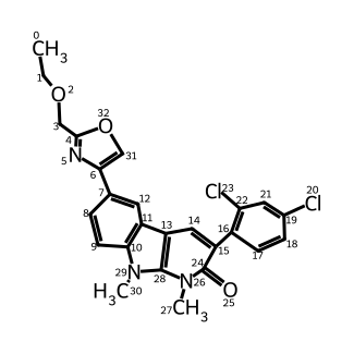 CCOCc1nc(-c2ccc3c(c2)c2cc(-c4ccc(Cl)cc4Cl)c(=O)n(C)c2n3C)co1